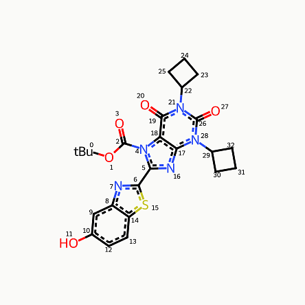 CC(C)(C)OC(=O)n1c(-c2nc3cc(O)ccc3s2)nc2c1c(=O)n(C1CCC1)c(=O)n2C1CCC1